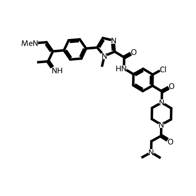 CN/C=C(\C(C)=N)c1ccc(-c2cnc(C(=O)Nc3ccc(C(=O)N4CCN(C(=O)CN(C)C)CC4)c(Cl)c3)n2C)cc1